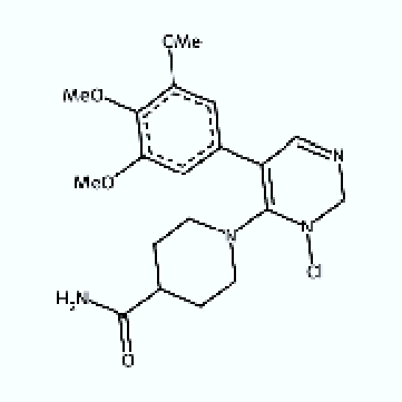 COc1cc(C2=C(N3CCC(C(N)=O)CC3)N(Cl)CN=C2)cc(OC)c1OC